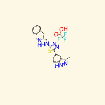 CNC(CNc1nnc(-c2ccc3[nH]nc(C)c3c2)s1)Cc1ccccc1.O=C(O)C(F)(F)F